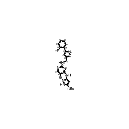 CC(C)(C)c1cc(Nc2nc(NCc3cc(-c4ccccc4F)no3)ncc2Br)n[nH]1